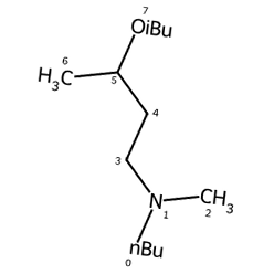 CCCCN(C)CCC(C)OCC(C)C